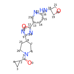 O=C(C1CC1)N1CCC(c2noc(-c3ccc(NC4COC4)nc3)n2)CC1